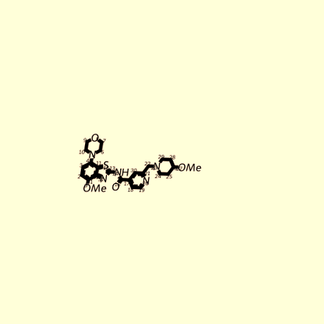 COc1ccc(N2CCOCC2)c2sc(NC(=O)c3ccnc(CN4CCC(OC)CC4)c3)nc12